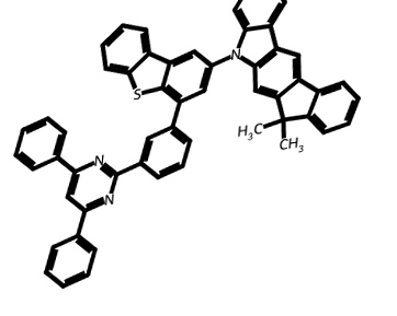 CC1(C)c2ccccc2-c2cc3c4ccccc4n(-c4cc(-c5cccc(-c6nc(-c7ccccc7)cc(-c7ccccc7)n6)c5)c5sc6ccccc6c5c4)c3cc21